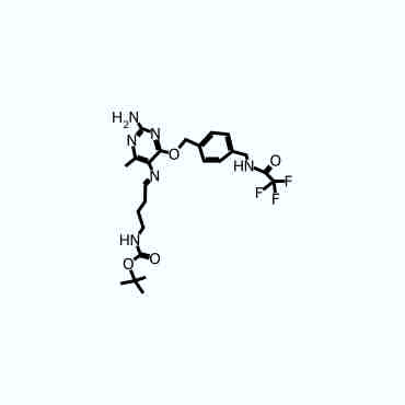 Cc1nc(N)nc(OCc2ccc(CNC(=O)C(F)(F)F)cc2)c1/N=C/CCCNC(=O)OC(C)(C)C